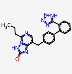 CCCc1ncc(Cc2ccc(-c3ccccc3-c3nnn[nH]3)cc2)c2nc(=O)[nH]n12